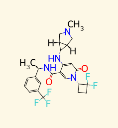 C[C@@H](NC(=O)c1cn([C@H]2CCC2(F)F)c(=O)cc1N[C@@H]1[C@@H]2CN(C)C[C@@H]21)c1cccc(C(F)(F)F)c1